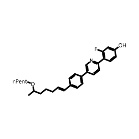 CCCCCOC(C)CCCC=Cc1ccc(-c2ccc(-c3ccc(O)cc3F)nc2)cc1